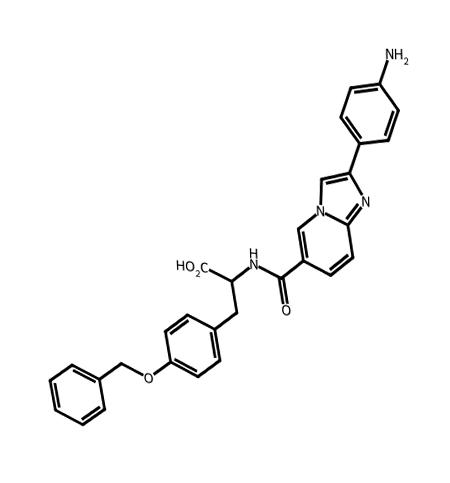 Nc1ccc(-c2cn3cc(C(=O)NC(Cc4ccc(OCc5ccccc5)cc4)C(=O)O)ccc3n2)cc1